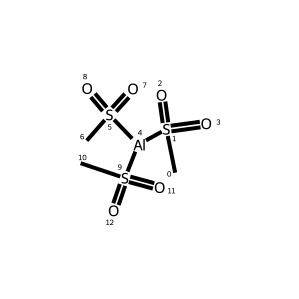 C[S](=O)(=O)[Al]([S](C)(=O)=O)[S](C)(=O)=O